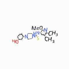 COc1nc(C)c(C)cc1NC(=S)N1CCN(c2cccc(O)c2)CC1